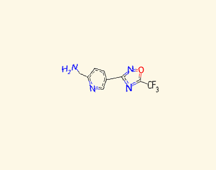 NCc1ccc(-c2noc(C(F)(F)F)n2)cn1